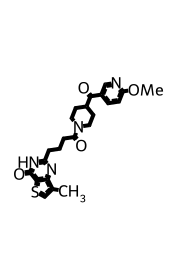 COc1ccc(C(=O)C2CCN(C(=O)CCCc3nc4c(C)csc4c(=O)[nH]3)CC2)cn1